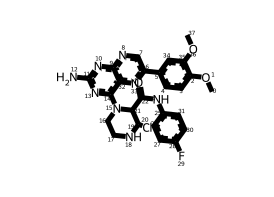 COc1ccc(-c2cnc3nc(N)nc(N4CCNC(Cl)C4C(=O)Nc4ccc(F)cc4)c3n2)cc1OC